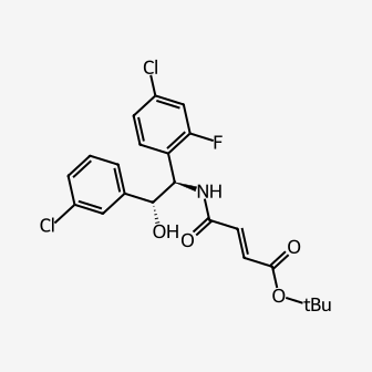 CC(C)(C)OC(=O)C=CC(=O)N[C@H](c1ccc(Cl)cc1F)[C@H](O)c1cccc(Cl)c1